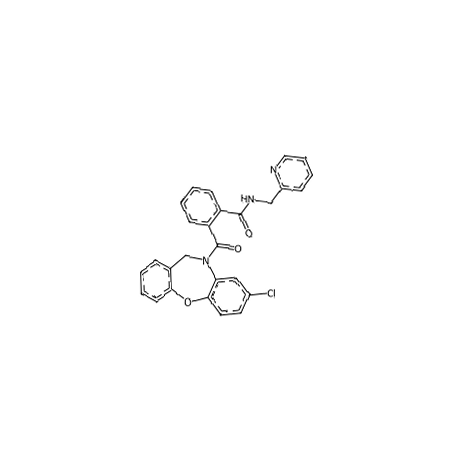 O=C(NCc1ccccn1)c1ccccc1C(=O)N1Cc2ccccc2Oc2ccc(Cl)cc21